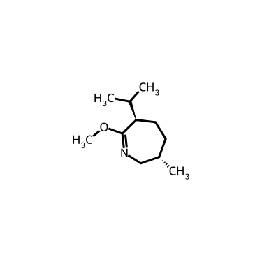 COC1=NC[C@@H](C)CC[C@@H]1C(C)C